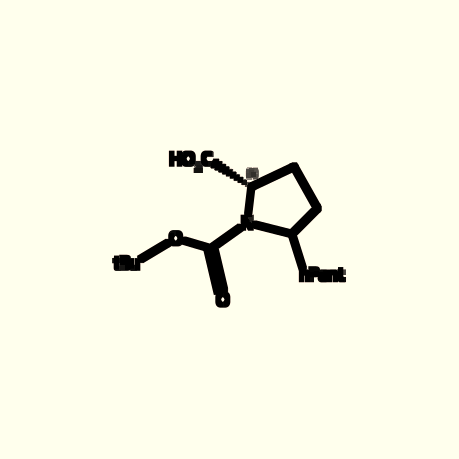 CCCCCC1CC[C@@H](C(=O)O)N1C(=O)OC(C)(C)C